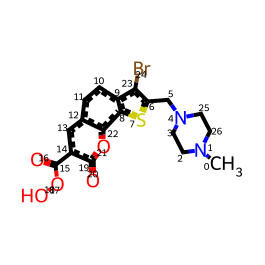 CN1CCN(Cc2sc3c(ccc4cc(C(=O)OO)c(=O)oc43)c2Br)CC1